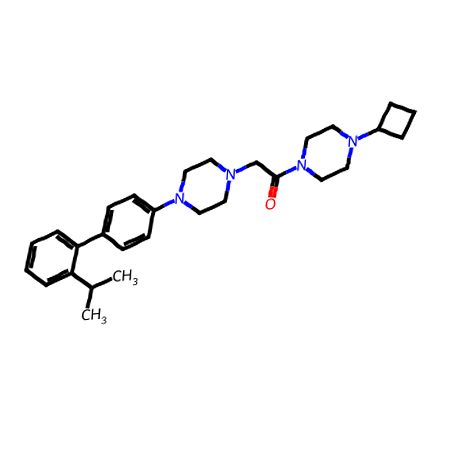 CC(C)c1ccccc1-c1ccc(N2CCN(CC(=O)N3CCN(C4CCC4)CC3)CC2)cc1